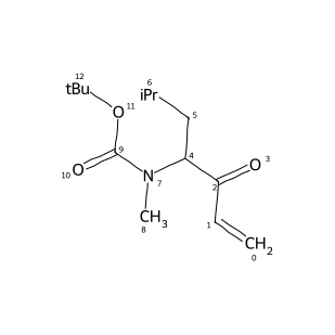 C=CC(=O)C(CC(C)C)N(C)C(=O)OC(C)(C)C